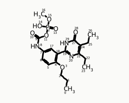 CCCOc1ccc(NC(=O)OP(=O)(O)OC)cc1-c1nc(CC)c(CC)c(=O)[nH]1